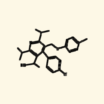 Cc1ccc(SCc2c(C(C)C)nc(C(C)C)c(C(C)O)c2-c2ccc(Cl)cc2)cc1